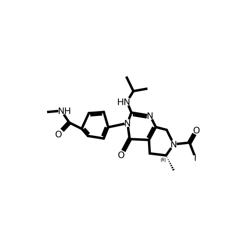 CNC(=O)c1ccc(-n2c(NC(C)C)nc3c(c2=O)C[C@@H](C)N(C(=O)I)C3)cc1